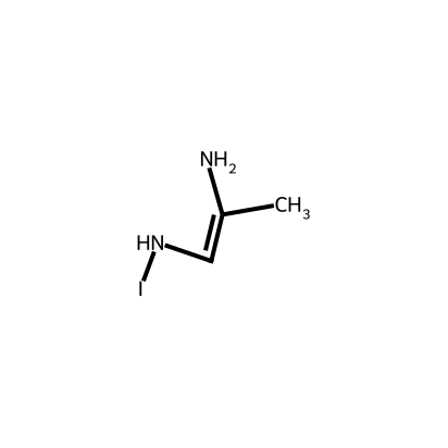 C/C(N)=C/NI